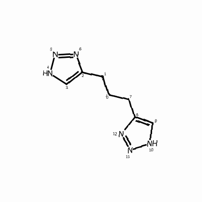 [CH](Cc1c[nH]nn1)Cc1c[nH]nn1